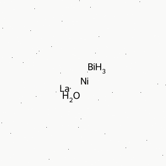 O.[BiH3].[La].[Ni]